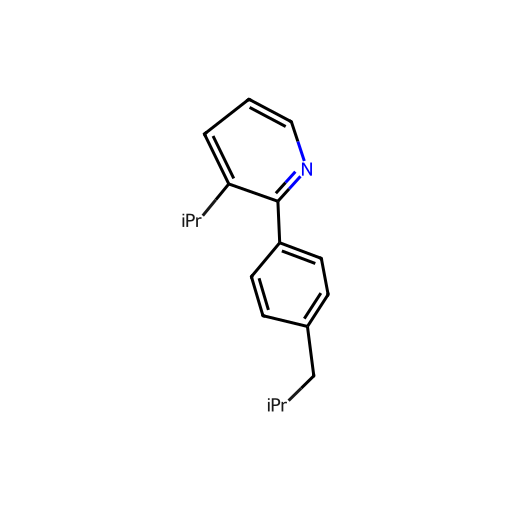 CC(C)Cc1ccc(-c2ncccc2C(C)C)cc1